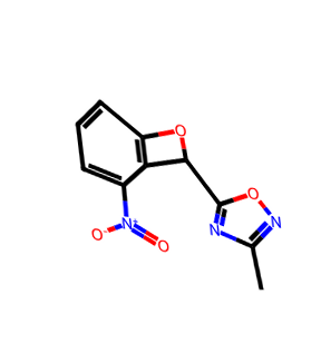 Cc1noc(C2Oc3cccc([N+](=O)[O-])c32)n1